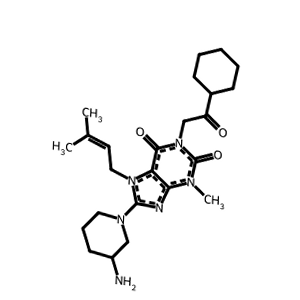 CC(C)=CCn1c(N2CCCC(N)C2)nc2c1c(=O)n(CC(=O)C1CCCCC1)c(=O)n2C